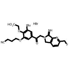 Br.CC(C)(C)c1cc(C(=O)CN2Cc3ccc(CF)nc3C2=N)cc(OCCCC#N)c1OCC(=O)O